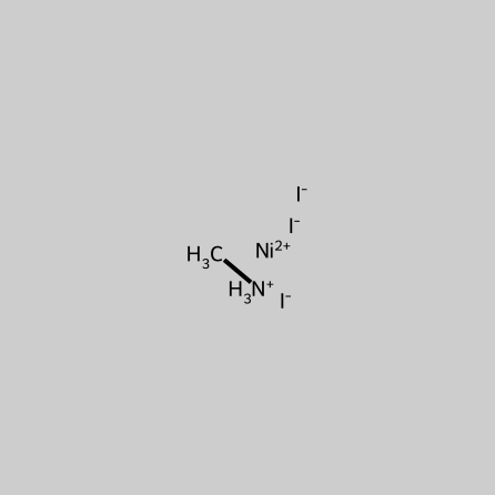 C[NH3+].[I-].[I-].[I-].[Ni+2]